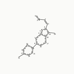 C=N/C=C\c1sc2cc(-c3ccc(C)cc3)ccc2c1C